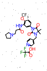 CC1(C)C(=O)N(c2ccc(OC(F)(F)F)c(NC(=O)CCN3CCCC3)c2)C(=O)N1Cc1ccncc1.O=C(O)C(F)(F)F